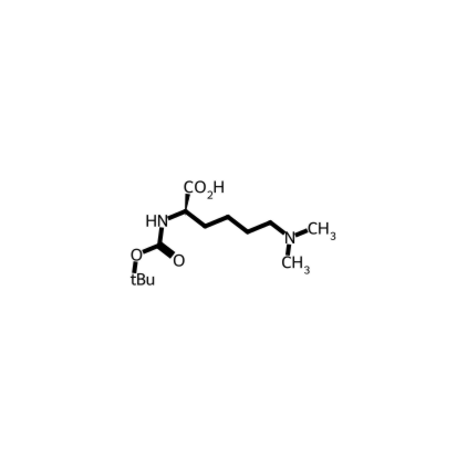 CN(C)CCCC[C@@H](NC(=O)OC(C)(C)C)C(=O)O